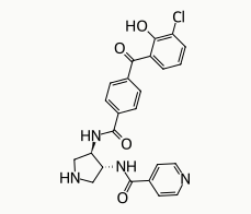 O=C(N[C@@H]1CNC[C@H]1NC(=O)c1ccc(C(=O)c2cccc(Cl)c2O)cc1)c1ccncc1